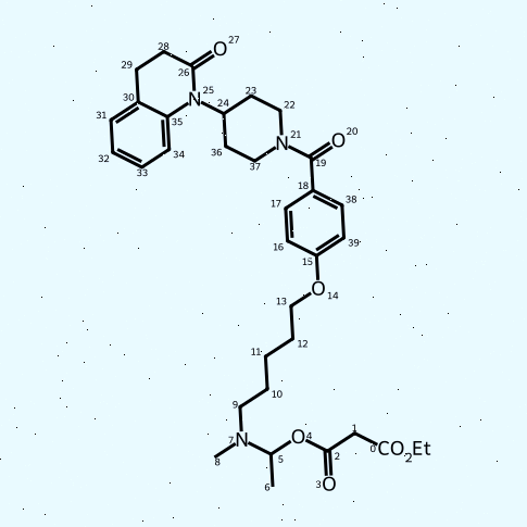 CCOC(=O)CC(=O)OC(C)N(C)CCCCCOc1ccc(C(=O)N2CCC(N3C(=O)CCc4ccccc43)CC2)cc1